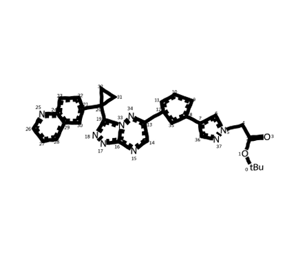 CC(C)(C)OC(=O)Cn1cc(-c2cccc(-c3cnc4nnc(C5(c6ccc7ncccc7c6)CC5)n4n3)c2)cn1